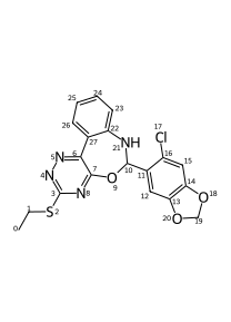 CCSc1nnc2c(n1)OC(c1cc3c(cc1Cl)OCO3)Nc1ccccc1-2